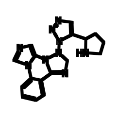 c1ccc2c(c1)C1=NCN(n3nncc3C3CCCN3)N1c1cncn1-2